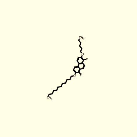 CCCCCCCCCCCCOc1ccc2c(ccc3c(F)c(OCCCCCC)ccc32)c1F